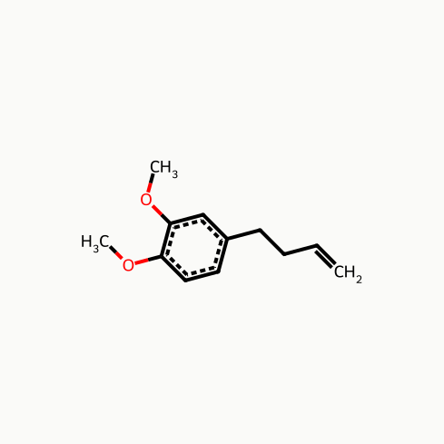 C=CCCc1ccc(OC)c(OC)c1